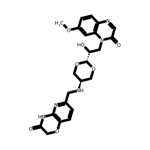 COc1ccc2ncc(=O)n(CC(O)[C@H]3OC[C@H](NCc4ccc5c(n4)NC(=O)CO5)CO3)c2c1